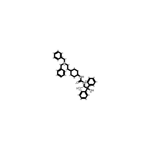 C[C@H](NC(=O)NC1CCC(CCN(Cc2ccccc2)Cc2ccccc2)CC1)C(O)(c1ccccc1)c1ccccc1